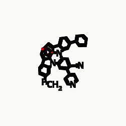 C=Pc1ccc2c3ccccc3n(-c3cc(-c4ccncc4)c(C#N)cc3-n3c4ccccc4c4ccc(-c5ccccc5)cc43)c2c1